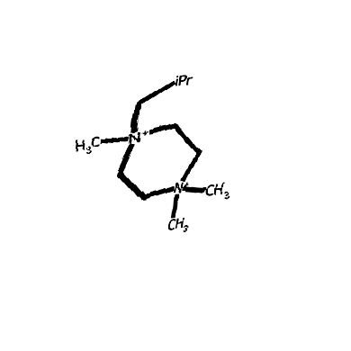 CC(C)C[N+]1(C)CC[N+](C)(C)CC1